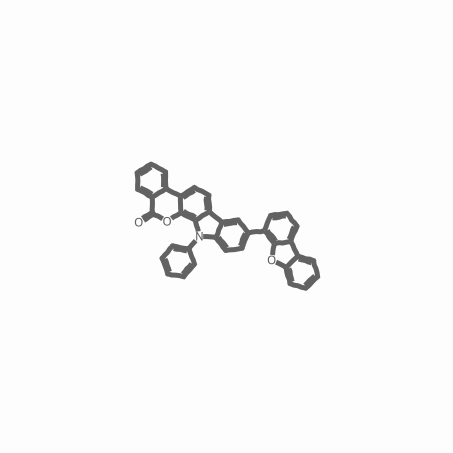 O=c1oc2c(ccc3c4cc(-c5cccc6c5oc5ccccc56)ccc4n(-c4ccccc4)c32)c2ccccc12